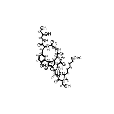 CCCCCCCCCCCCCCCC(=O)N(C)C(CO)C(=O)N[C@H](C)C(=O)NCC(=O)N(C)[C@@H]1C(=O)N[C@@H](C)C(=O)NC(C(=O)NCC(O)CO)Cc2ccc(O)c(c2)-c2cc1ccc2O